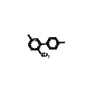 Cc1ccc(-c2cc(C)c[c]c2[N+](=O)[O-])cc1